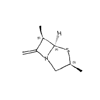 C=C1[C@@H](C)[C@H]2S[C@@H](C)CN12